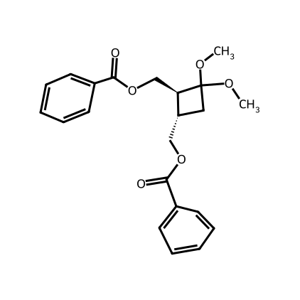 COC1(OC)C[C@H](COC(=O)c2ccccc2)[C@H]1COC(=O)c1ccccc1